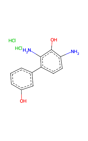 Cl.Cl.Nc1ccc(-c2cccc(O)c2)c(N)c1O